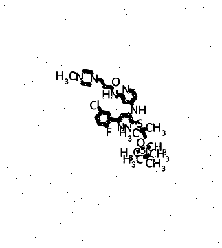 CN1CCN(CCC(=O)Nc2cc(Nc3cc(-c4cc(Cl)ccc4F)nnc3SC(C)(C)CO[Si](C)(C)C(C)(C)C)ccn2)CC1